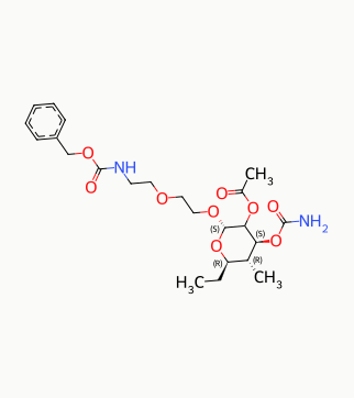 CC[C@H]1O[C@H](OCCOCCNC(=O)OCc2ccccc2)C(OC(C)=O)[C@@H](OC(N)=O)[C@@H]1C